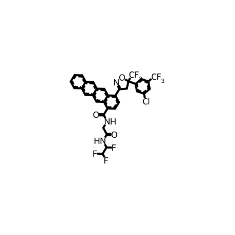 O=C(CNC(=O)c1ccc(C2=NOC(c3cc(Cl)cc(C(F)(F)F)c3)(C(F)(F)F)C2)c2cc3cc4ccccc4cc3cc12)NC(F)C(F)F